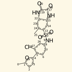 Cc1ccc(-c2ccc(NS(=O)(=O)c3cc4[nH]c(=O)c(=O)[nH]c4cc3C)cc2Cl)o1